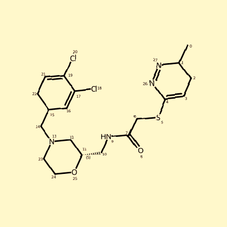 CC1CC=C(SCC(=O)NC[C@H]2CN(CC3C=C(Cl)C(Cl)=CC3)CCO2)N=N1